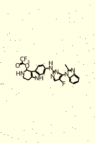 Cc1nc2ccccc2n1-c1nc(Nc2ccc3c4c([nH]c3c2)CCNC4OC(=O)C(F)(F)F)ncc1F